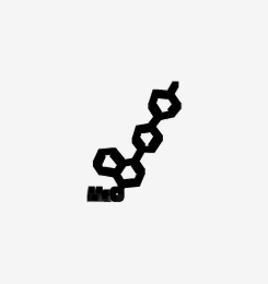 COc1ccc(-c2ccc(-c3ccc(C)cc3)cc2)c2ccccc12